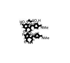 CNCc1ccc(-c2[nH]c3cc(F)cc4c3c2CCNC4=O)cc1.CNCc1ccc(-c2[nH]c3cc(F)cc4c3c2CCNC4=O)cc1.O=S(=O)(O)CCS(=O)(=O)O